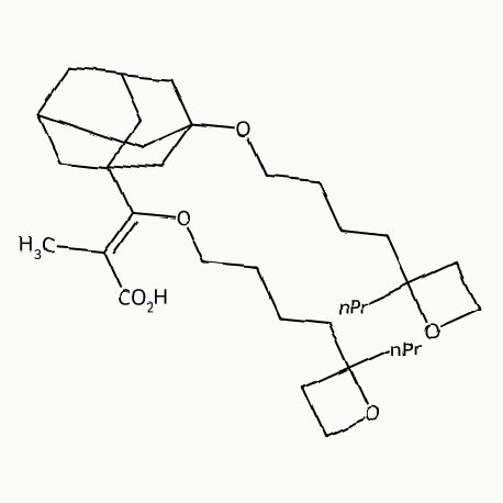 CCCC1(CCCCOC(=C(C)C(=O)O)C23CC4CC(CC(OCCCCC5(CCC)CCO5)(C4)C2)C3)CCO1